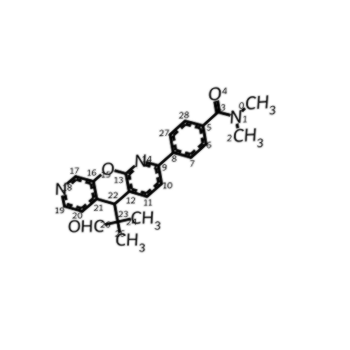 CN(C)C(=O)c1ccc(-c2ccc3c(n2)Oc2cnccc2C3C(C)(C)C=O)cc1